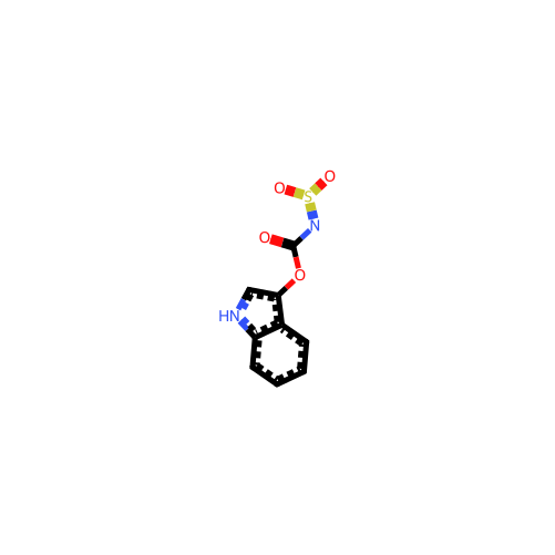 O=C(N=S(=O)=O)Oc1c[nH]c2ccccc12